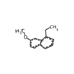 C[CH]c1cccc2ccc(OC)cc12